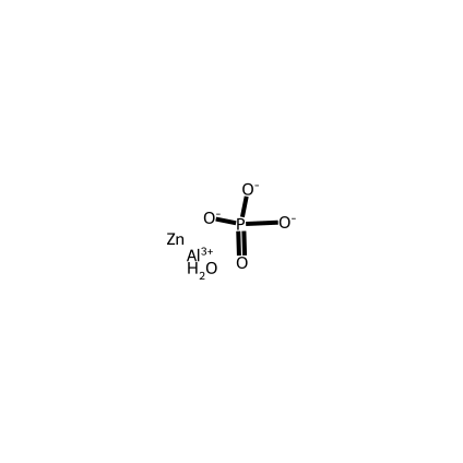 O.O=P([O-])([O-])[O-].[Al+3].[Zn]